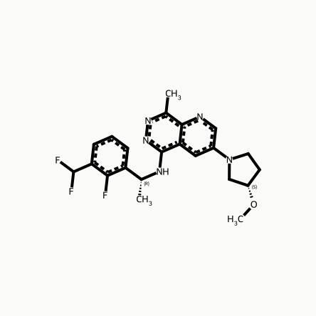 CO[C@H]1CCN(c2cnc3c(C)nnc(N[C@H](C)c4cccc(C(F)F)c4F)c3c2)C1